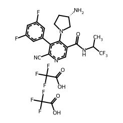 CC(NC(=O)c1cnc(C#N)c(-c2cc(F)cc(F)c2)c1N1CC[C@H](N)C1)C(F)(F)F.O=C(O)C(F)(F)F.O=C(O)C(F)(F)F